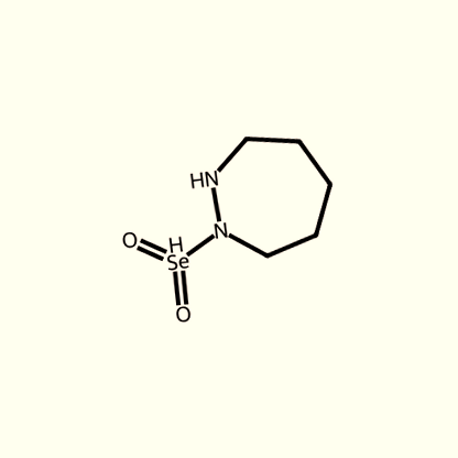 O=[SeH](=O)N1CCCCCN1